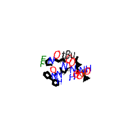 C=CC1CC1(NC(=O)[C@@H]1C[C@@H](NC(=O)n2c3ccccc3c3ccccc32)CN1C(=O)[C@@H](CC(=O)N1CCC(F)(F)C1)C(C)(C)C)C(=O)NS(=O)(=O)C1CC1